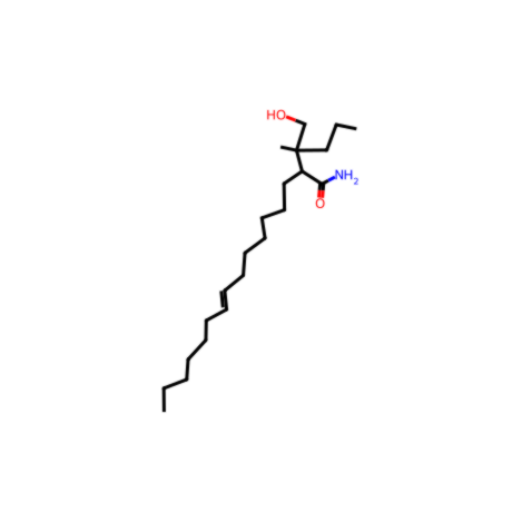 CCCCCCC=CCCCCCCC(C(N)=O)C(C)(CO)CCC